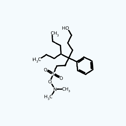 CCCC(CCC)C(CCCO)(CCS(=O)(=O)ON(C)C)c1ccccc1